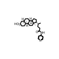 CC(CCC(=O)Nc1ccncc1)[C@H]1CC[C@H]2[C@@H]3CC[C@H]4C[C@@H](O)CC[C@]4(C)[C@H]3CC[C@]12C